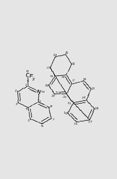 FC(F)(F)c1ccc2ccccc2n1.c1cc2c3ccc4c5c(ccc42)C(CCC5)c1c3